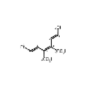 CC/C=C/C(C(=O)O)=C(\C=C\CC)C(=O)O